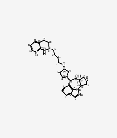 O=C(O)C(c1cccc2cnn([C@H]3CCOC3)c12)N1CC[C@@H](OCCCC[C@H]2CCc3cccnc3N2)C1